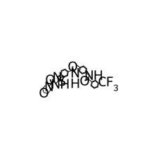 Cc1ccc(NC(=O)c2cccc(C(F)(F)F)c2)cc1NC(=O)c1ccc2nc(NC(=O)N3CCOCC3)sc2c1